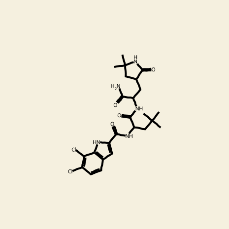 CC(C)(C)CC(NC(=O)c1cc2ccc(Cl)c(Cl)c2[nH]1)C(=O)NC(CC1CC(C)(C)NC1=O)C(N)=O